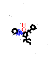 CCCC(CC)(CC)c1cc(-n2nc3ccccc3n2)c(O)c(C(C)(C)c2ccccc2)c1